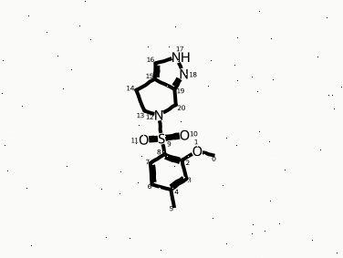 COc1cc(C)ccc1S(=O)(=O)N1CCc2c[nH]nc2C1